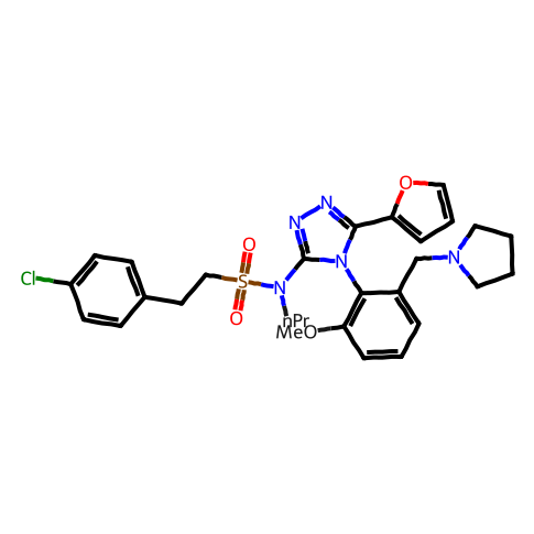 CCCN(c1nnc(-c2ccco2)n1-c1c(CN2CCCC2)cccc1OC)S(=O)(=O)CCc1ccc(Cl)cc1